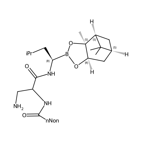 CCCCCCCCCC(=O)NC(CN)C(=O)N[C@@H](CC(C)C)B1O[C@@H]2C[C@@H]3C[C@@H](C3(C)C)[C@]2(C)O1